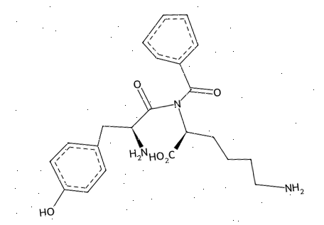 NCCCC[C@@H](C(=O)O)N(C(=O)c1ccccc1)C(=O)[C@@H](N)Cc1ccc(O)cc1